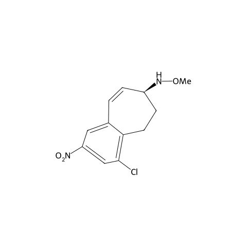 CON[C@@H]1C=Cc2cc([N+](=O)[O-])cc(Cl)c2CC1